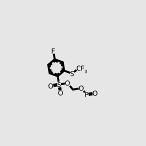 O=POCOS(=O)(=O)c1ccc(F)cc1SC(F)(F)F